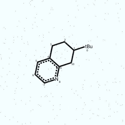 CC(C)(C)C1CCc2cccnc2C1